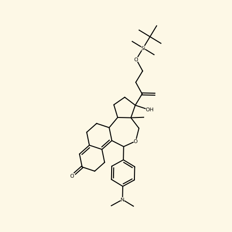 C=C(CCO[Si](C)(C)C(C)(C)C)C1(O)CCC2C3CCC4=CC(=O)CCC4=C3C(c3ccc(N(C)C)cc3)OCC21C